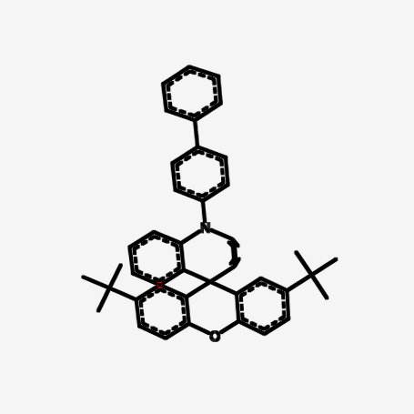 CC(C)(C)c1ccc2c(c1)C1(C3=CCCC=C3N(c3ccc(-c4ccccc4)cc3)c3ccccc31)c1cc(C(C)(C)C)ccc1O2